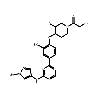 CC(C)(C)n1cc(Nc2ncnc(-c3ccc(OC4CCN(C(=O)CC#N)CC4F)c(C#N)c3)n2)cn1